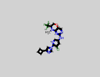 CN1c2nc(Nc3cnc(-n4cnc(C5CCC5)c4)c(Cl)c3)ncc2OCC1C(F)(F)F